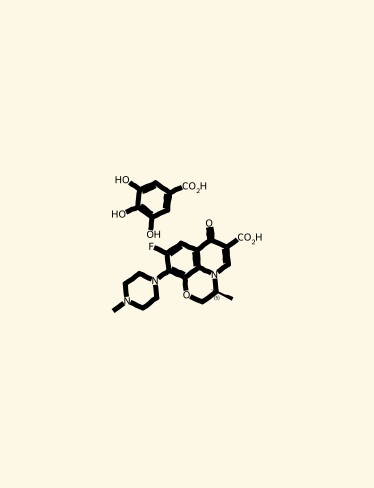 C[C@H]1COc2c(N3CCN(C)CC3)c(F)cc3c(=O)c(C(=O)O)cn1c23.O=C(O)c1cc(O)c(O)c(O)c1